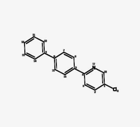 Clc1ccc(-c2ccc(-c3ccccc3)cc2)nc1